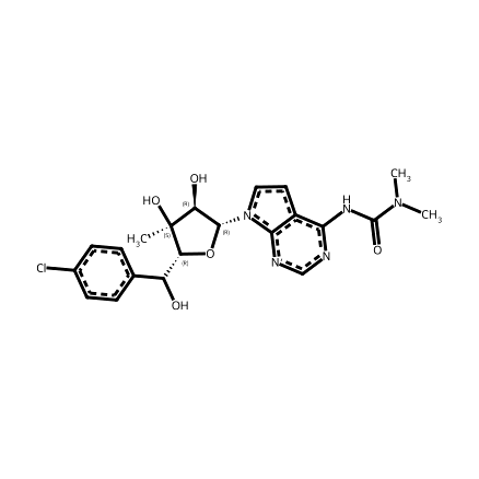 CN(C)C(=O)Nc1ncnc2c1ccn2[C@@H]1O[C@H](C(O)c2ccc(Cl)cc2)[C@@](C)(O)[C@H]1O